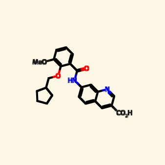 COc1cccc(C(=O)Nc2ccc3cc(C(=O)O)cnc3c2)c1OCC1CCCC1